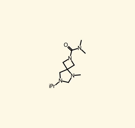 CC(C)N1CN(C)C2(CN(C(=O)N(C)C)C2)C1